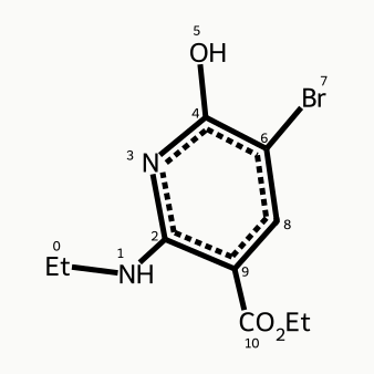 CCNc1nc(O)c(Br)cc1C(=O)OCC